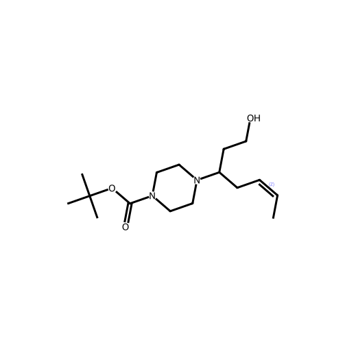 C/C=C\CC(CCO)N1CCN(C(=O)OC(C)(C)C)CC1